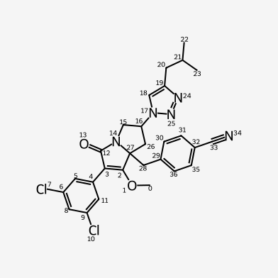 COC1=C(c2cc(Cl)cc(Cl)c2)C(=O)N2CC(n3cc(CC(C)C)nn3)CC12Cc1ccc(C#N)cc1